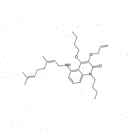 C=CCOc1c(OCCCC)c2c(NCC=C(C)CCC=C(C)C)cccc2n(CCCC)c1=O